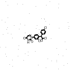 O=C(Cl)C(c1ccc(Cl)cc1)c1ccc(-n2ncc(=O)[nH]c2=O)cc1Cl